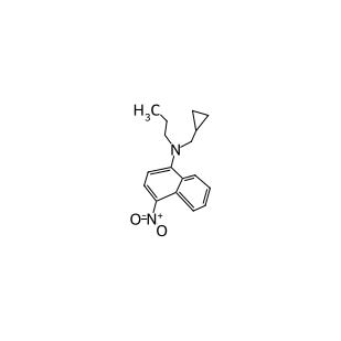 CCCN(CC1CC1)c1ccc([N+](=O)[O-])c2ccccc12